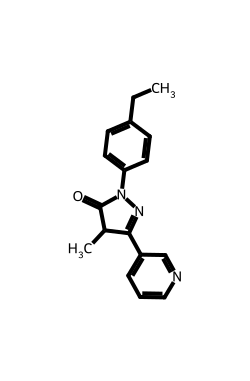 CCc1ccc(N2N=C(c3cccnc3)C(C)C2=O)cc1